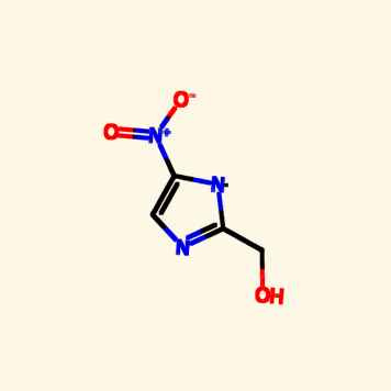 O=[N+]([O-])C1=CN=C(CO)[N]1